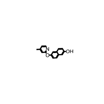 Cc1ccnc(Oc2ccc3cc(O)ccc3c2)c1